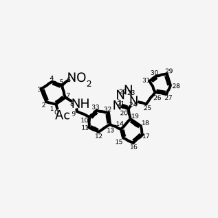 CC(=O)c1cccc([N+](=O)[O-])c1NCc1ccc(-c2ccccc2-c2nnnn2Cc2ccccc2)cc1